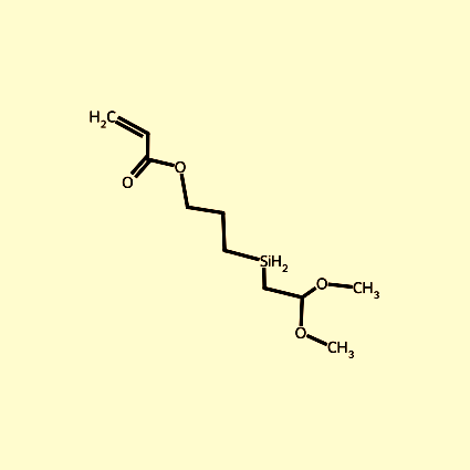 C=CC(=O)OCCC[SiH2]CC(OC)OC